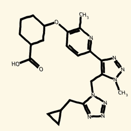 Cc1nc(-c2nnn(C)c2Cn2nnnc2CC2CC2)ccc1OC1CCCC(C(=O)O)C1